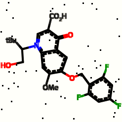 COc1cc2c(cc1OCc1c(F)cc(F)cc1F)c(=O)c(C(=O)O)cn2C(CO)C(C)(C)C